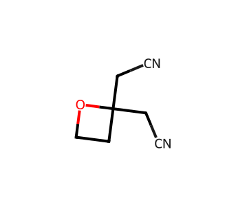 N#CCC1(CC#N)CCO1